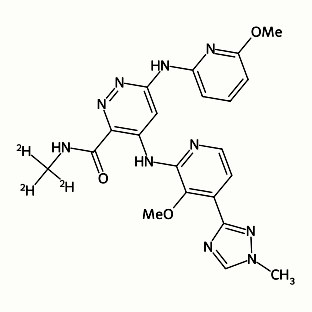 [2H]C([2H])([2H])NC(=O)c1nnc(Nc2cccc(OC)n2)cc1Nc1nccc(-c2ncn(C)n2)c1OC